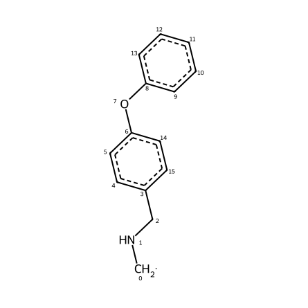 [CH2]NCc1ccc(Oc2ccccc2)cc1